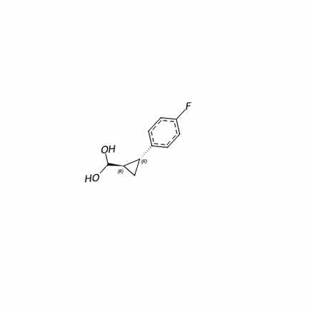 OC(O)[C@@H]1C[C@H]1c1ccc(F)cc1